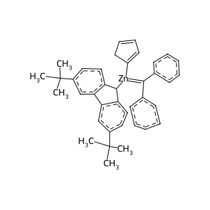 CC(C)(C)c1ccc2c(c1)-c1cc(C(C)(C)C)ccc1[CH]2[Zn]([C]1=CC=CC1)=[C](c1ccccc1)c1ccccc1